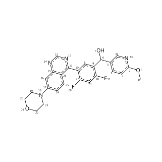 COc1ccc(C(O)c2cc(-c3ncnc4cc(N5CCOCC5)ccc34)c(F)cc2F)cn1